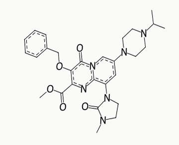 COC(=O)c1nc2c(N3CCN(C)C3=O)cc(N3CCN(C(C)C)CC3)cn2c(=O)c1OCc1ccccc1